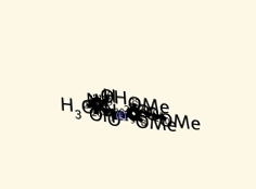 COCCOCOc1c(OC)cc(/C=C/C(=O)NCc2c(CO)cnc(C)c2O)cc1OC